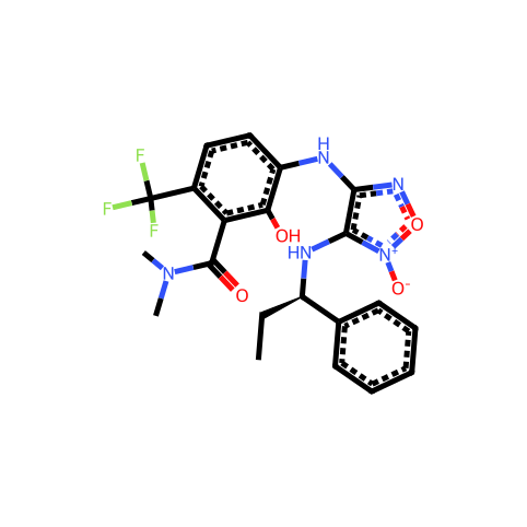 CC[C@@H](Nc1c(Nc2ccc(C(F)(F)F)c(C(=O)N(C)C)c2O)no[n+]1[O-])c1ccccc1